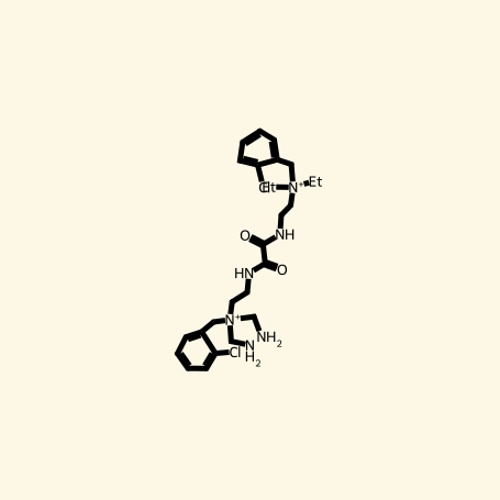 CC[N+](CC)(CCNC(=O)C(=O)NCC[N+](CN)(CN)Cc1ccccc1Cl)Cc1ccccc1Cl